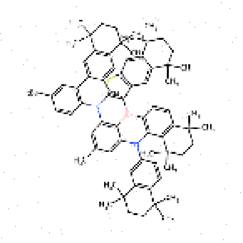 Cc1cc2c3c(c1)N(c1ccc4c(c1)C(C)(C)CCC4(C)C)c1c(ccc4c1C(C)(C)CCC4(C)C)B3c1c(sc3cc4c(cc13)C(C)(C)CCC4(C)C)N2c1ccc(C(C)(C)C)cc1-c1cc2c(cc1C)C(C)(C)CCC2(C)C